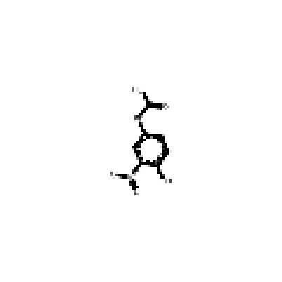 CC(=O)Nc1ccc(O)c([N+](=O)[O-])c1